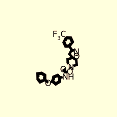 O=C(Nc1ccc(Oc2ccccc2)cc1)ON1CCC2(CC1)CC(c1ccc(C(F)(F)F)cc1)=NO2